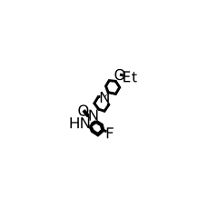 CCO[C@H]1CC[C@H](N2CCC(n3c(=O)[nH]c4ccc(F)cc43)CC2)CC1